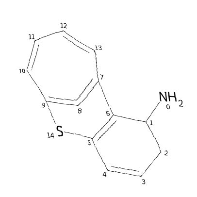 NC1CC=CC2=C1C1=C=C(C=CC=C1)S2